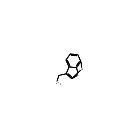 CCc1c2oc3c(cccc13)O2